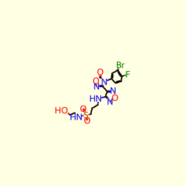 O=c1onc(-c2nonc2NCCCS(=O)(=O)NCCO)n1-c1ccc(F)c(Br)c1